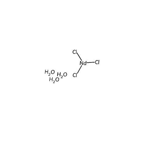 O.O.O.[Cl][Nd]([Cl])[Cl]